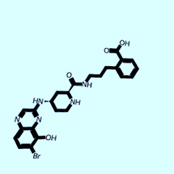 O=C(O)c1ccccc1CCCNC(=O)[C@@H]1C[C@@H](Nc2cnc3ccc(Br)c(O)c3n2)CCN1